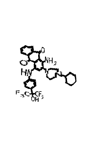 Nc1c(N2CCN(C3CCCCC3)CC2)cc(Nc2ccc(C(O)(C(F)(F)F)C(F)(F)F)cc2)c2c1C(=O)c1ccccc1C2=O